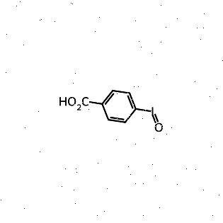 O=Ic1ccc(C(=O)O)cc1